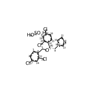 Clc1ccc(CO[C@@H](Cn2ccnc2)c2ccc(Cl)cc2Cl)c(Cl)c1.O=S(=O)(O)O